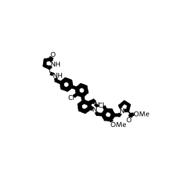 COC(=O)[C@@H]1CCCN1Cc1cc(Cl)c(Cn2ncc3c(-c4cccc(-c5ccc(CNC[C@@H]6CCC(=O)N6)cc5)c4Cl)cccc32)cc1OC